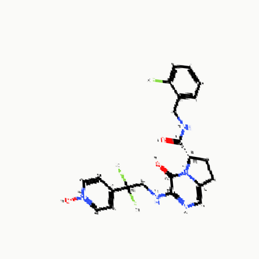 O=C(NCc1ccccc1F)[C@@H]1CCc2cnc(NCC(F)(F)c3cc[n+]([O-])cc3)c(=O)n21